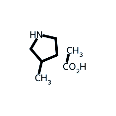 CC(=O)O.CC1CCNC1